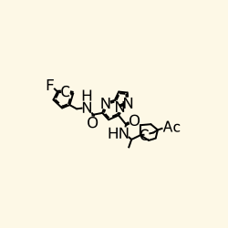 CC(=O)C12CCC(C(C)NC(=O)c3cc(C(=O)NCc4ccc(F)cc4)nc4ccnn34)(CC1)CC2